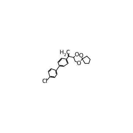 C=C(c1ccc(-c2ccc(Cl)cc2)cc1)C1COC2(CCCC2)OO1